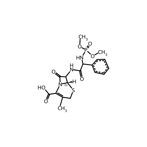 COP(=O)(NC(C(=O)NC1C(=O)N2C(C(=O)O)=C(C)CS[C@@H]12)c1ccccc1)OC